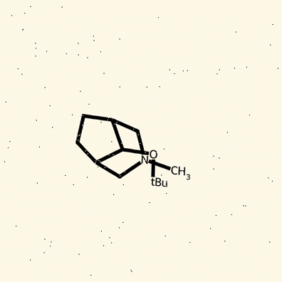 CN1CC2CCC(C1)C2OC(C)(C)C